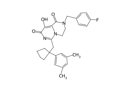 Cc1cc(C)cc(C2(Cc3nc(=O)c(O)c4n3CCN(Cc3ccc(F)cc3)C4=O)CCCC2)c1